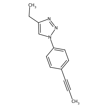 CC#Cc1ccc(-n2cc(CC)nn2)cc1